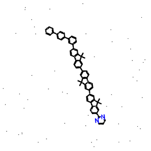 CC1(C)c2cc(-c3cccc(-c4ccc(-c5ccccc5)cc4)c3)ccc2-c2ccc(-c3ccc4c(c3)C(C)(C)c3cc(-c5ccc6c(c5)C(C)(C)c5cc(-c7ncccn7)ccc5-6)ccc3-4)cc21